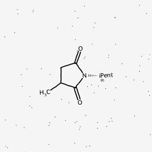 CCC[C@@H](C)N1C(=O)CC(C)C1=O